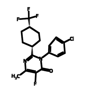 Cc1nc([C@H]2CC[C@@H](C(F)(F)F)CC2)n(-c2ccc(Cl)cc2)c(=O)c1F